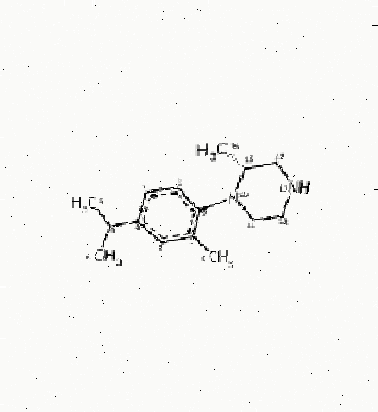 Cc1cc(C(C)C)ccc1N1CCNC[C@H]1C